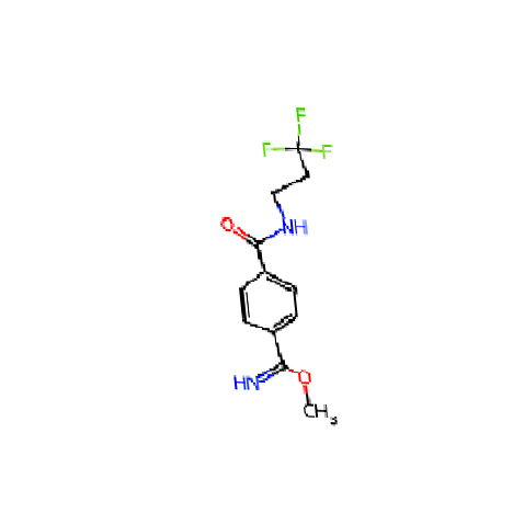 COC(=N)c1ccc(C(=O)NCCC(F)(F)F)cc1